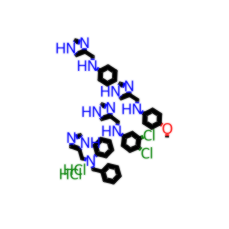 COc1ccc(NCc2c[nH]cn2)cc1.Cl.Cl.Clc1ccc(NCc2c[nH]cn2)cc1Cl.c1ccc(CN(Cc2cnc[nH]2)c2ccccc2)cc1.c1ccc(NCc2c[nH]cn2)cc1